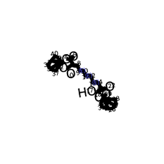 O=C1OC2(OC(=O)C1=C/C=C/C=C/C=C/C1=C(O)OC3(OC1=O)C1CC4CC(C1)CC3C4)C1CC3CC(C1)CC2C3